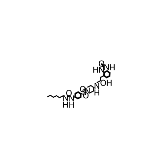 CCCCCCNC(=O)Nc1ccc(S(=O)(=O)N2CCC(NCC(O)Cc3cccc4[nH]c(=O)[nH]c34)CC2)cc1